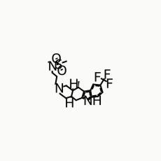 C[C@H]1c2c([nH]c3ccc(C(F)(F)F)cc23)C[C@H]2CCN(CCCN(C)S(C)(=O)=O)C[C@@H]21